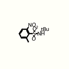 Cc1cccc([N+](=O)[O-])c1S(=O)(=O)NC(C)(C)C